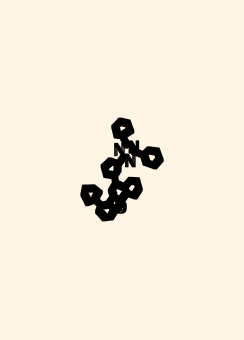 c1ccc(-c2nc(-c3ccccc3)nc(-c3cccc(-c4cc5c(oc6cccc(-c7ccccc7)c65)c5ccccc45)c3)n2)cc1